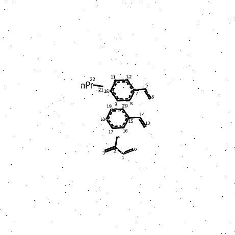 C=CC(=C)C.C=Cc1ccccc1.C=Cc1ccccc1.CCCC